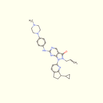 C=CCn1c(=O)c2cnc(Nc3ccc(N4CCN(C)CC4)cc3)nc2n1-c1ccc2c(n1)C(C1CC1)CC2